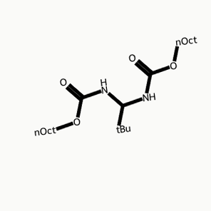 CCCCCCCCOC(=O)NC(NC(=O)OCCCCCCCC)C(C)(C)C